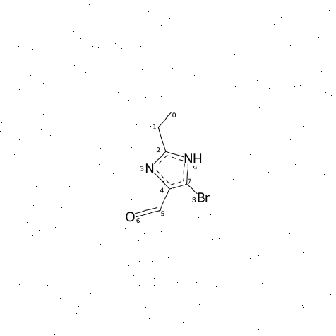 CCc1nc(C=O)c(Br)[nH]1